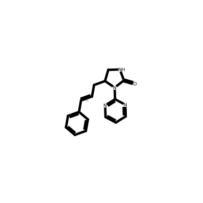 O=C1NCC(C/C=C/c2ccccc2)N1c1ncccn1